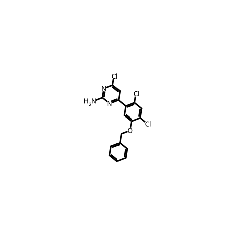 Nc1nc(Cl)cc(-c2cc(OCc3ccccc3)c(Cl)cc2Cl)n1